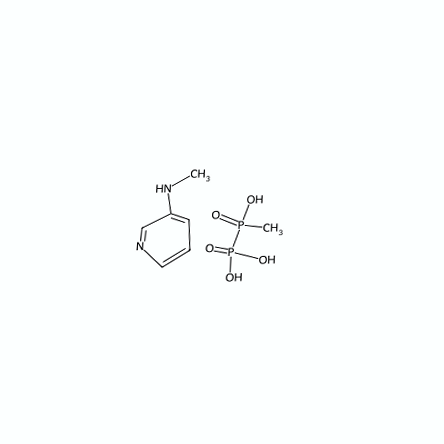 CNc1cccnc1.CP(=O)(O)P(=O)(O)O